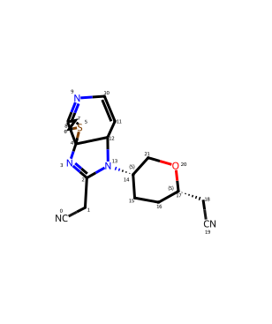 N#CCC1=NC23SC=CC2=NC=CC3N1[C@H]1CC[C@@H](CC#N)OC1